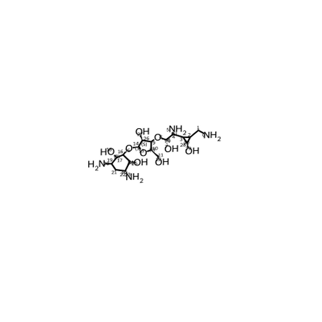 NCC1C([C@H](N)[C@H](O)OC2[C@@H](CO)O[C@@H](OC3[C@H](O)C(N)C[C@@H](N)[C@H]3O)[C@H]2O)[C@@H]1O